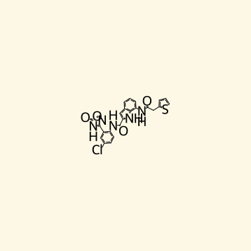 O=C(Cc1cccs1)Nc1cccc2cc(C(=O)Nc3ccc(Cl)cc3-c3noc(=O)[nH]3)[nH]c12